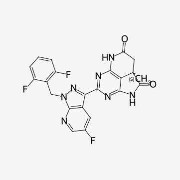 C[C@]12CC(=O)Nc3nc(-c4nn(Cc5c(F)cccc5F)c5ncc(F)cc45)nc(c31)NC2=O